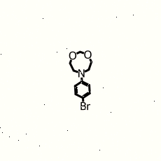 Brc1ccc(N2CCOCOCC2)cc1